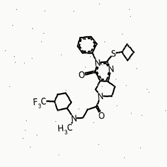 CN(CCC(=O)N1CCc2nc(SC3CCC3)n(-c3ccccc3)c(=O)c2C1)C1CCCC(C(F)(F)F)C1